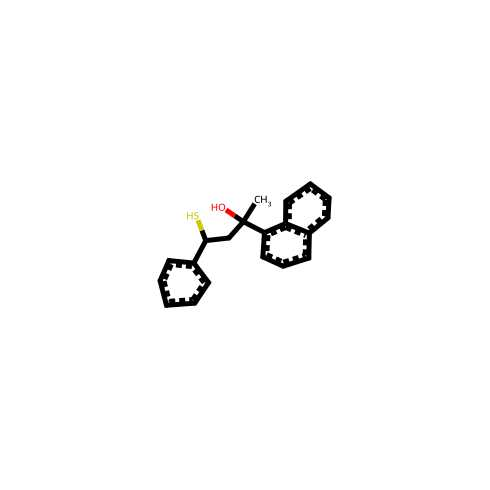 CC(O)(CC(S)c1ccccc1)c1cccc2ccccc12